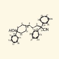 N#CC(CCCN1CCC(O)(c2ccccc2)CC1)(c1ccccc1)c1ccccc1